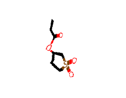 CCC(=O)OC1CCS(=O)(=O)C1